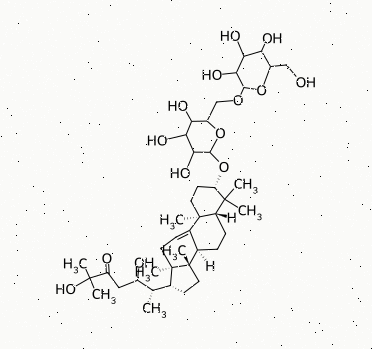 C[C@H](C(O)CC(=O)C(C)(C)O)[C@H]1CC[C@@]2(C)[C@@H]3CC[C@H]4C(C)(C)[C@@H](OC5OC(COC6OC(CO)C(O)C(O)C6O)C(O)C(O)C5O)CC[C@]4(C)C3=CC[C@]12C